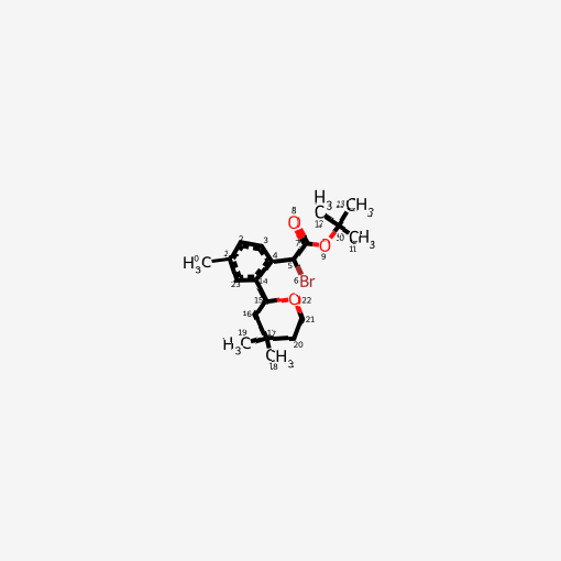 Cc1ccc(C(Br)C(=O)OC(C)(C)C)c(C2CC(C)(C)CCO2)c1